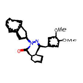 COc1ccc(C2=NN(C3Cc4ccccc4C3)C(=O)C3CC=CCC23)cc1OC